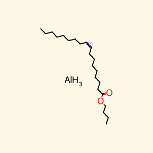 CCCCCCCC/C=C\CCCCCCCC(=O)OCCCC.[AlH3]